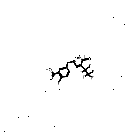 O=C(O)c1cc(Cc2cc(C(F)(F)C(F)(F)F)c(=O)[nH]n2)ccc1F